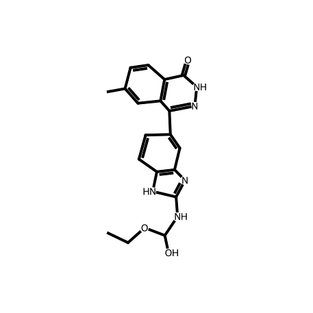 CCOC(O)Nc1nc2cc(-c3n[nH]c(=O)c4ccc(C)cc34)ccc2[nH]1